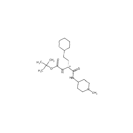 CN1CCC(NC(=S)[C@@H](CCC2CCCCC2)NC(=O)OC(C)(C)C)CC1